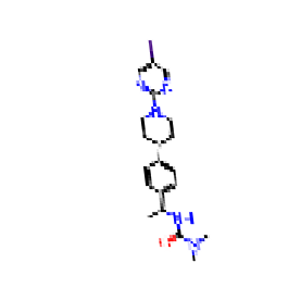 CC(NC(=O)N(C)C)c1ccc(C2CCN(c3ncc(I)cn3)CC2)cc1